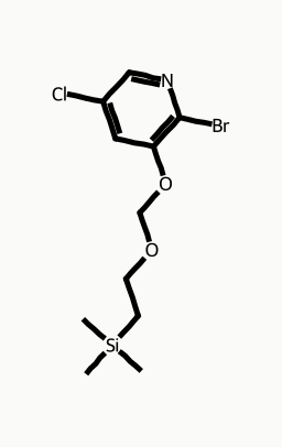 C[Si](C)(C)CCOCOc1cc(Cl)cnc1Br